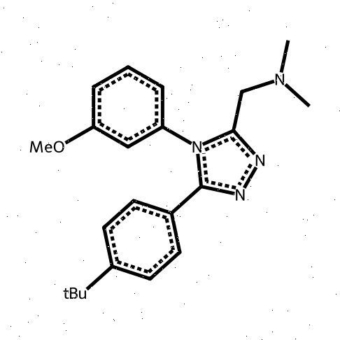 COc1cccc(-n2c(CN(C)C)nnc2-c2ccc(C(C)(C)C)cc2)c1